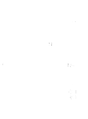 COc1ccc2c(NCCO)cc(-c3ccc(Cl)cc3)nc2c1.Cl